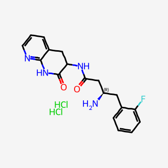 Cl.Cl.N[C@@H](CC(=O)NC1Cc2cccnc2NC1=O)Cc1ccccc1F